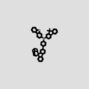 CC1(C)c2ccccc2-c2ccc(N(c3ccc(-c4ccc5c(c4)C4(c6ccccc6-5)C5CC6CC(C5)CC4C6)cc3)c3ccc4c(c3)oc3ccccc34)cc21